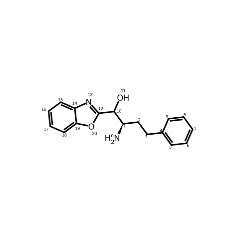 N[C@H](CCc1ccccc1)C(O)c1nc2ccccc2o1